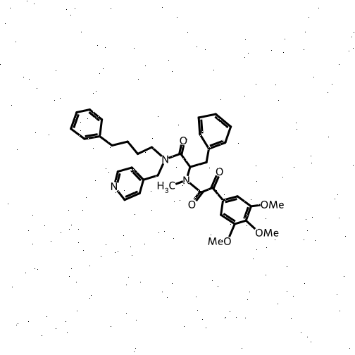 COc1cc(C(=O)C(=O)N(C)C(Cc2ccccc2)C(=O)N(CCCCc2ccccc2)Cc2ccncc2)cc(OC)c1OC